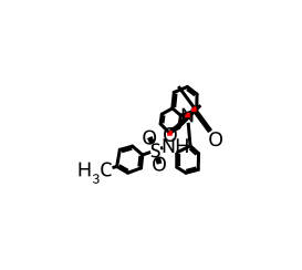 Cc1ccc(S(=O)(=O)Nc2ccccc2N2C(=O)CC3C=CC=C4C=CC=CC43C2=O)cc1